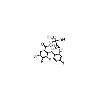 CC(O)(ONC(=O)c1cc(Cl)c(F)c(F)c1Nc1ccc(I)cc1Cl)C1CC1